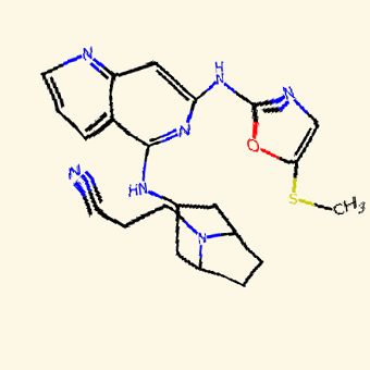 CSc1cnc(Nc2cc3ncccc3c(NC3CC4CCC(C3)N4CCC#N)n2)o1